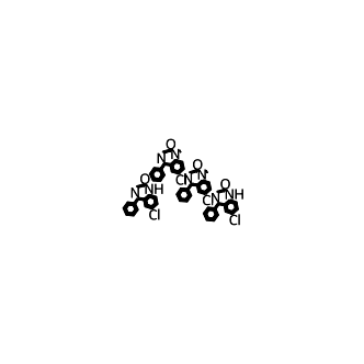 CN1C(=O)CN=C(c2ccccc2)c2cc(Cl)ccc21.CN1C(=O)CN=C(c2ccccc2)c2cc(Cl)ccc21.O=C1CN=C(c2ccccc2)c2cc(Cl)ccc2N1.O=C1CN=C(c2ccccc2)c2cc(Cl)ccc2N1